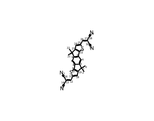 CC1(C)c2cc3c(cc2-c2sc(C=C(C#N)C#N)cc21)C(C)(C)c1cc(C=C(C#N)C#N)sc1-3